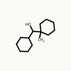 CC1(C(O)C2CCCCC2)CCCCC1